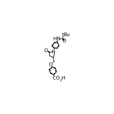 CC(C)(C)C(=O)Nc1ccc(N2CC(COc3ccc(C(=O)O)cc3)CC2=O)cc1